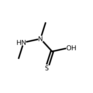 CNN(C)C(O)=S